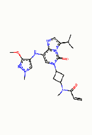 C=CC(=O)N(C)C1CC(n2cc(Nc3cn(C)nc3OC)c3ncc(C(C)C)n3c2=O)C1